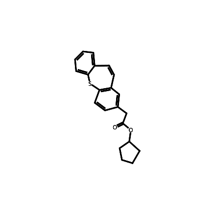 O=C(Cc1ccc2c(c1)C=Cc1ccccc1S2)OC1CCCC1